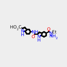 CCN(N)C(=O)c1ccc2[nH]c(C(=O)Nc3ccc4[nH]c(C(=O)O)cc4c3)cc2c1